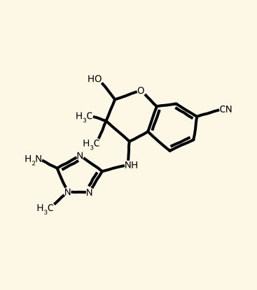 Cn1nc(NC2c3ccc(C#N)cc3OC(O)C2(C)C)nc1N